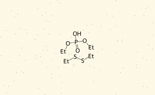 CCOP(=O)(O)OCC.CCSSCC